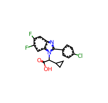 O=C(O)C(C1CC1)n1c(-c2ccc(Cl)cc2)nc2cc(F)c(F)cc21